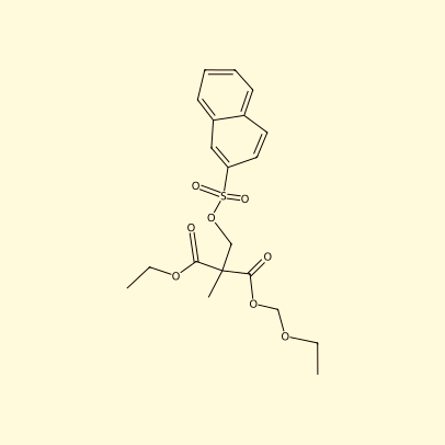 CCOCOC(=O)C(C)(COS(=O)(=O)c1ccc2ccccc2c1)C(=O)OCC